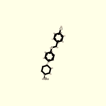 CCCC[C@H]1CC[C@H](c2ccc(SCc3ccc(Cl)cc3)cc2)CC1